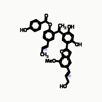 C=C(c1cc(-c2cc3cc(/C=C/CO)cc(OC)c3o2)c(O)cc1O)c1cc(/C=C/C)ccc1OC(=O)c1ccc(O)cc1